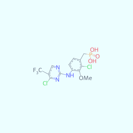 COc1c(Nc2ncc(C(F)(F)F)c(Cl)n2)ccc(CP(=O)(O)O)c1Cl